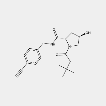 C#Cc1ccc(CNC(=O)[C@@H]2C[C@@H](O)CN2C(=O)CC(C)(C)C)cc1